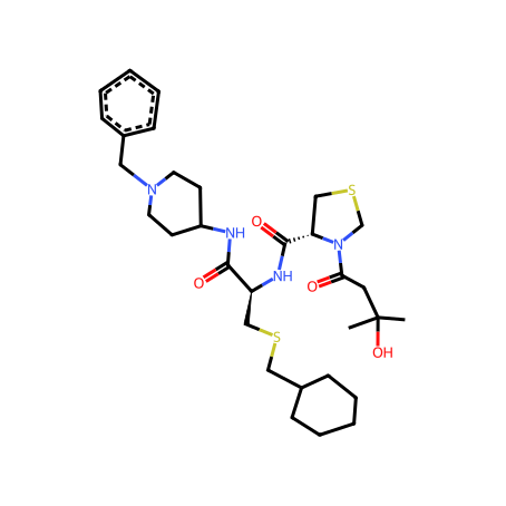 CC(C)(O)CC(=O)N1CSC[C@H]1C(=O)N[C@@H](CSCC1CCCCC1)C(=O)NC1CCN(Cc2ccccc2)CC1